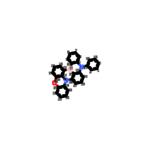 c1ccc(N2c3ccccc3B3c4cccc5c4N(c4ccccc4O5)c4cccc2c43)cc1